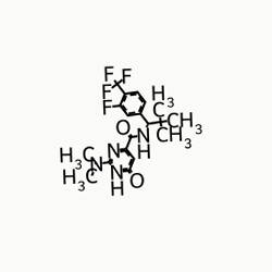 CN(C)c1nc(C(=O)N[C@@H](c2ccc(C(F)(F)F)c(F)c2)C(C)(C)C)cc(=O)[nH]1